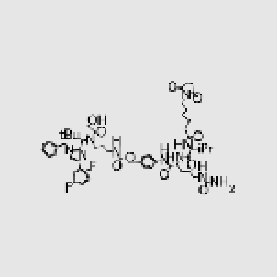 CC(C)[C@H](NC(=O)CCCCCN1C(=O)C=CC1=O)C(=O)N[C@@H](CCCNC(N)=O)C(=O)Nc1ccc(COC(=O)NCCCN(C(=O)CO)[C@@H](c2nc(-c3cc(F)ccc3F)cn2Cc2ccccc2)C(C)(C)C)cc1